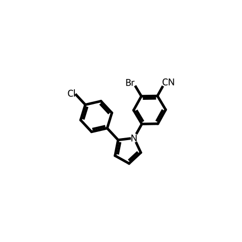 N#Cc1ccc(-n2cccc2-c2ccc(Cl)cc2)cc1Br